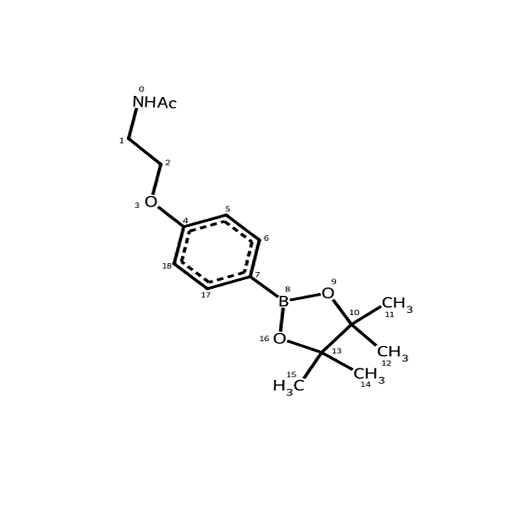 CC(=O)NCCOc1ccc(B2OC(C)(C)C(C)(C)O2)cc1